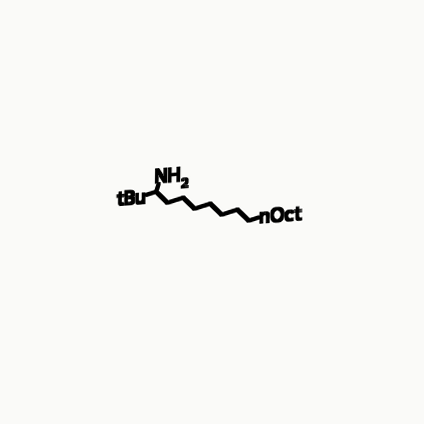 CCCCCCCCCCCCCCCC(N)C(C)(C)C